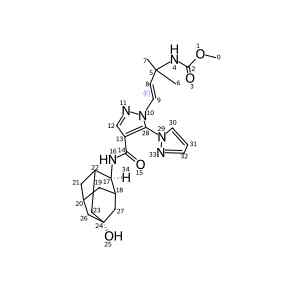 COC(=O)NC(C)(C)/C=C/n1ncc(C(=O)N[C@H]2C3CC4CC2C[C@](O)(C4)C3)c1-n1cccn1